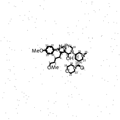 COCCCCc1c(C(O)N(CC(C)C)[C@H]2C[C@@H](C(=O)N3CCOCC3)CN(C)C2)nnn1-c1ccc(OC)cc1